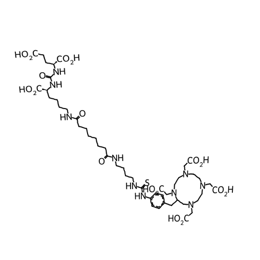 O=C(O)CC[C@H](NC(=O)N[C@@H](CCCCNC(=O)CCCCCCC(=O)NCCCCNC(=S)Nc1ccc(CC2CN(CC(=O)O)CCN(CC(=O)O)CCN(CC(=O)O)CCN2CC(=O)O)cc1)C(=O)O)C(=O)O